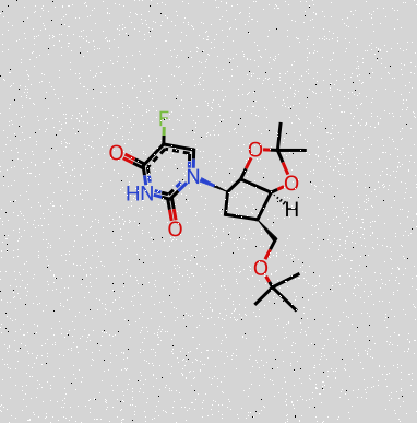 CC(C)(C)OC[C@H]1C[C@@H](n2cc(F)c(=O)[nH]c2=O)C2OC(C)(C)O[C@H]21